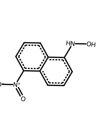 O=[N+]([O-])c1cccc2c(NO)cccc12